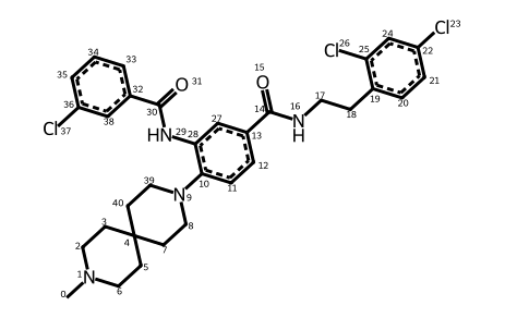 CN1CCC2(CC1)CCN(c1ccc(C(=O)NCCc3ccc(Cl)cc3Cl)cc1NC(=O)c1cccc(Cl)c1)CC2